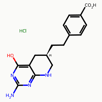 Cl.Nc1nc(O)c2c(n1)NC[C@H](CCc1ccc(C(=O)O)cc1)C2